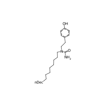 CCCCCCCCCCCCCCCCCCN(CCc1ccc(O)cc1)C(N)=O